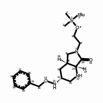 CC(C)(C)[Si](C)(C)OCCN1C[C@@H]2C[C@@H](NOCc3ccccc3)CN[C@@H]2C1=O